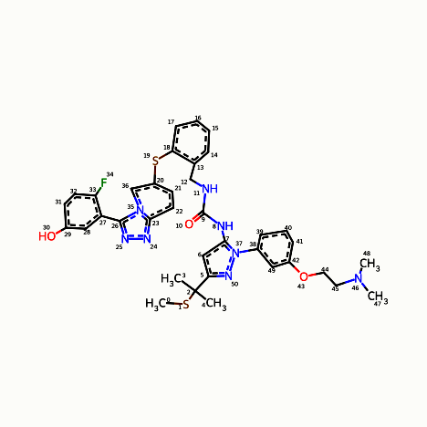 CSC(C)(C)c1cc(NC(=O)NCc2ccccc2Sc2ccc3nnc(-c4cc(O)ccc4F)n3c2)n(-c2cccc(OCCN(C)C)c2)n1